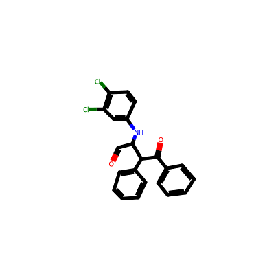 O=CC(Nc1ccc(Cl)c(Cl)c1)C(C(=O)c1ccccc1)c1ccccc1